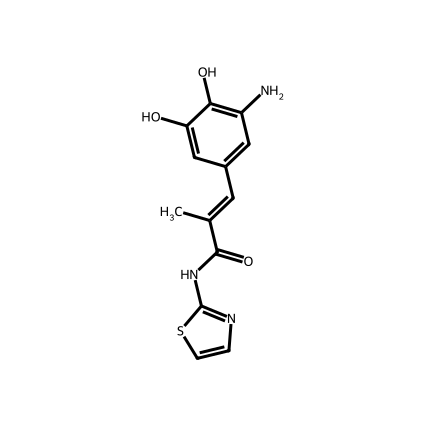 C/C(=C\c1cc(N)c(O)c(O)c1)C(=O)Nc1nccs1